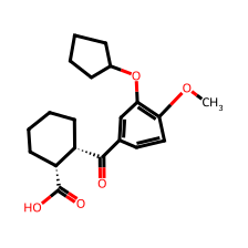 COc1ccc(C(=O)[C@H]2CCCC[C@H]2C(=O)O)cc1OC1CCCC1